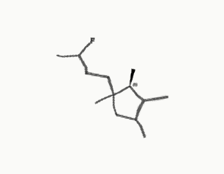 CC(F)CCC1(C)CC(C)C(C)[C@@H]1C